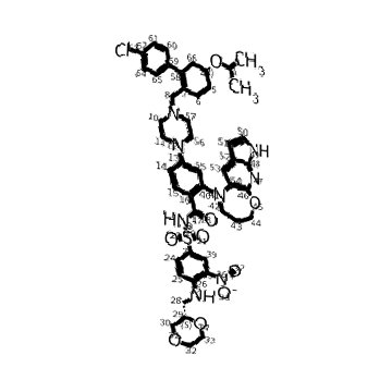 CC(C)O[C@@H]1CCC(CN2CCN(c3ccc(C(=O)NS(=O)(=O)c4ccc(NC[C@H]5COCCO5)c([N+](=O)[O-])c4)c(N4CCCOc5nc6[nH]ccc6cc54)c3)CC2)=C(c2ccc(Cl)cc2)C1